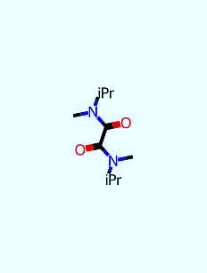 CC(C)N(C)C(=O)C(=O)N(C)C(C)C